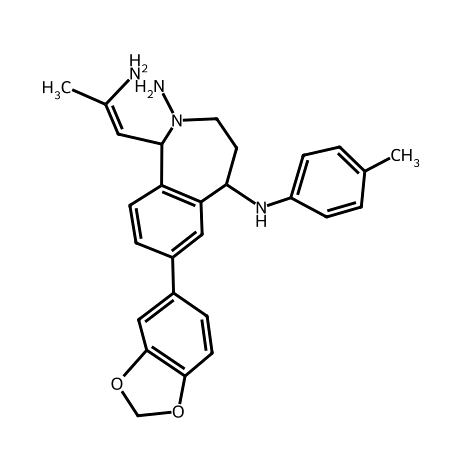 C/C(N)=C/C1c2ccc(-c3ccc4c(c3)OCO4)cc2C(Nc2ccc(C)cc2)CCN1N